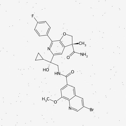 COc1cc(C(=O)NC[C@](O)(c2cc3c(c(-c4ccc(F)cc4)n2)OC[C@]3(C)C(N)=O)C2CC2)cc2cc(Br)cnc12